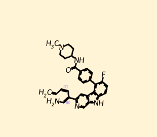 C=C/C=C\C(=C/N)c1cc2c(cn1)[nH]c1ccc(F)c(-c3ccc(C(=O)NC4CCN(C)CC4)cc3)c12